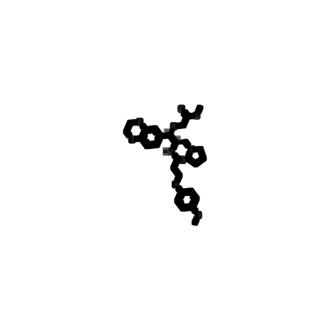 COC(=O)CO[C@H](c1ccc2c(c1)OCCO2)[C@@H](CN1CCCC1)NC(=O)CCOc1ccc(OC)cc1